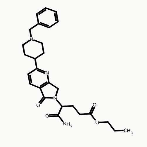 CCCOC(=O)CCC(C(N)=O)N1Cc2nc(C3CCN(Cc4ccccc4)CC3)ccc2C1=O